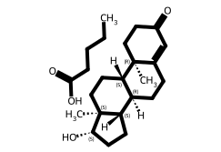 CCCCC(=O)O.C[C@]12CC[C@H]3[C@@H](CCC4=CC(=O)CC[C@@]43C)[C@@H]1CC[C@@H]2O